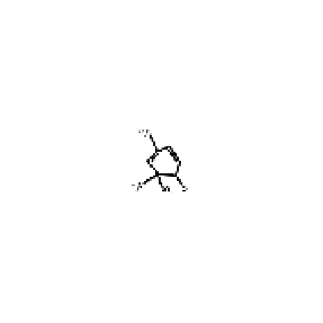 NC1([N+](=O)[O-])C=C([N+](=O)[O-])C=CC1O